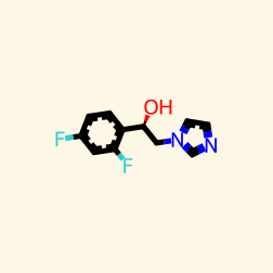 O[C@@H](Cn1ccnc1)c1ccc(F)cc1F